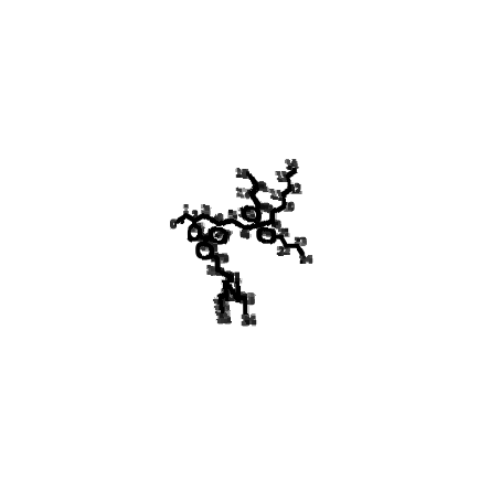 [CH2]CC(CCCCC(CCCCCCC)(OCCCC)OCCCC)OC(=O)OCCCN(CC)CC